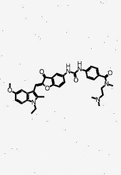 CCn1c(C)c(C=C2Oc3ccc(NC(=O)Nc4ccc(C(=O)N(C)CCN(C)C)cc4)cc3C2=O)c2cc(OC)ccc21